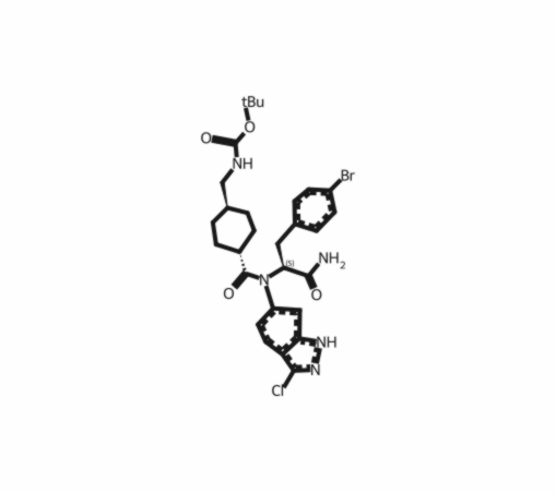 CC(C)(C)OC(=O)NC[C@H]1CC[C@H](C(=O)N(c2ccc3c(Cl)n[nH]c3c2)[C@@H](Cc2ccc(Br)cc2)C(N)=O)CC1